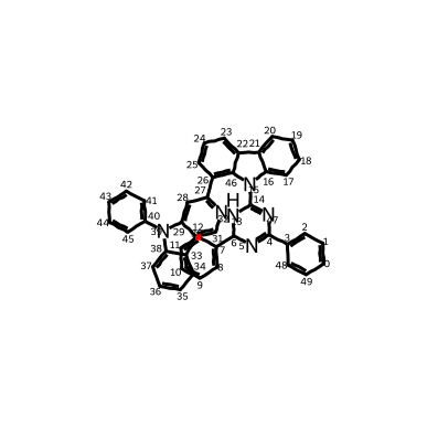 c1ccc(C2=NC(c3ccccc3)NC(n3c4ccccc4c4cccc(-c5cc6c(cn5)c5ccccc5n6-c5ccccc5)c43)=N2)cc1